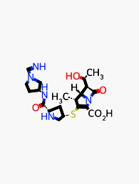 C[C@@H](O)[C@H]1C(=O)N2C(C(=O)O)=C(S[C@@H]3CN[C@H](C(=O)N[C@@H]4CCN(C=N)C4)C3)[C@H](C)[C@H]12